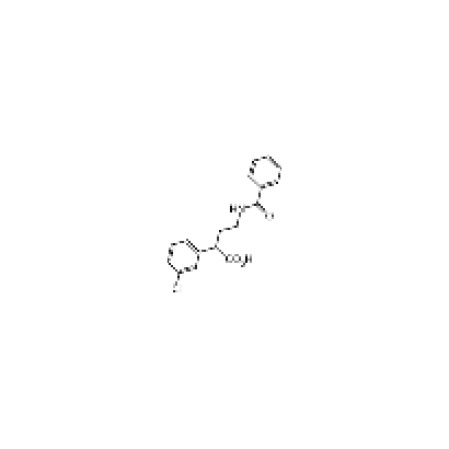 O=C(NCCC(C(=O)O)c1cccc(Cl)c1)c1ccccc1